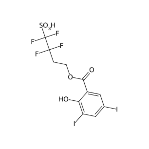 O=C(OCCC(F)(F)C(F)(F)S(=O)(=O)O)c1cc(I)cc(I)c1O